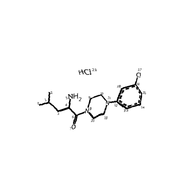 CC(C)CC(N)C(=O)N1CCN(c2cccc(Cl)c2)CC1.Cl